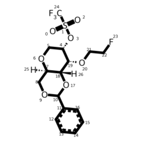 O=S(=O)(O[C@H]1CO[C@@H]2COC(c3ccccc3)O[C@H]2[C@H]1OCCF)C(F)(F)F